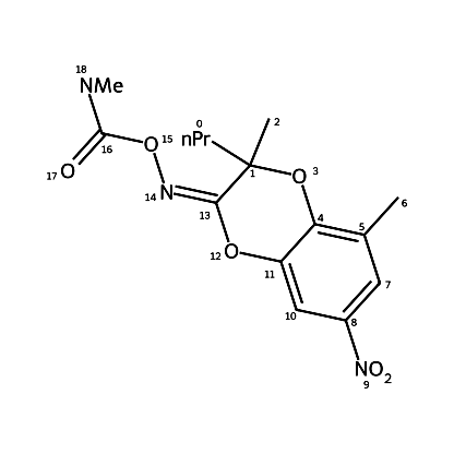 CCCC1(C)Oc2c(C)cc([N+](=O)[O-])cc2OC1=NOC(=O)NC